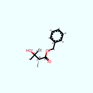 CCC(C)(O)[C@@H](C)C(=O)OCc1ccccc1